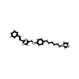 C(=Cc1nc(COc2ccc(CCCCCCn3ccnc3)cc2)co1)c1ccccc1